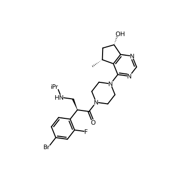 CC(C)NC[C@@H](C(=O)N1CCN(c2ncnc3c2[C@H](C)C[C@@H]3O)CC1)c1ccc(Br)cc1F